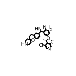 C[C@@H](Oc1ccc(N)c(C(=N)c2ccc3c(c2)CCC2(CCNCC2)O3)c1)c1c(Cl)cncc1Cl